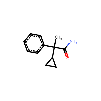 CC(C(N)=O)(c1ccccc1)C1CC1